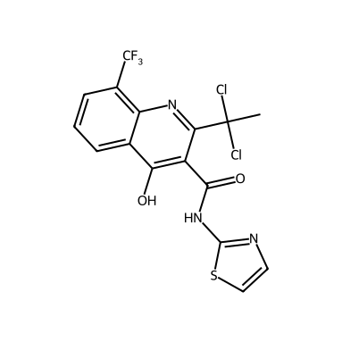 CC(Cl)(Cl)c1nc2c(C(F)(F)F)cccc2c(O)c1C(=O)Nc1nccs1